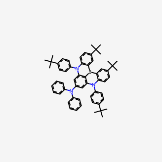 CC(C)(C)c1ccc(N2c3ccc(C(C)(C)C)cc3B3c4cc(C(C)(C)C)ccc4N(c4ccc(C(C)(C)C)cc4)c4cc(N(c5ccccc5)c5ccccc5)cc2c43)cc1